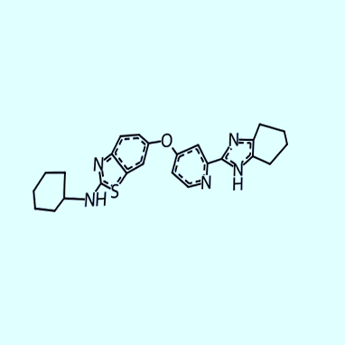 c1cc(Oc2ccc3nc(NC4CCCCC4)sc3c2)cc(-c2nc3c([nH]2)CCCC3)n1